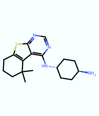 CC1(C)CCCc2sc3ncnc(N[C@H]4CC[C@H](N)CC4)c3c21